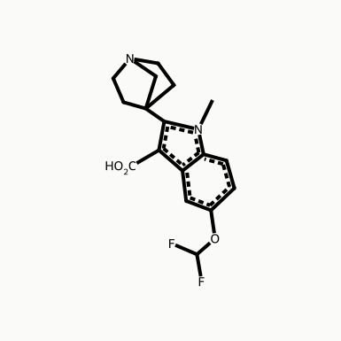 Cn1c(C23CCN(CC2)C3)c(C(=O)O)c2cc(OC(F)F)ccc21